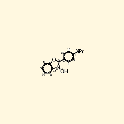 CC(C)c1ccc(C2Oc3ccccc3N2O)cc1